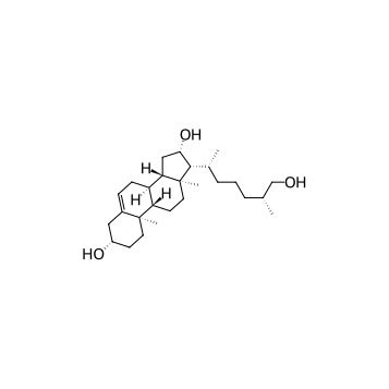 C[C@@H](CO)CCC[C@@H](C)[C@H]1[C@@H](O)C[C@H]2[C@@H]3CC=C4C[C@@H](O)CC[C@]4(C)[C@H]3CC[C@]12C